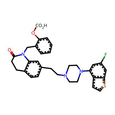 O=C(O)Oc1ccccc1CN1C(=O)CCc2ccc(CCN3CCN(c4cc(F)cc5sccc45)CC3)cc21